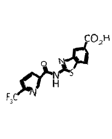 O=C(O)c1ccc2sc(NC(=O)c3ccc(C(F)(F)F)nc3)nc2c1